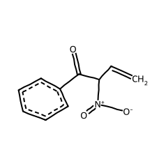 C=CC(C(=O)c1ccccc1)[N+](=O)[O-]